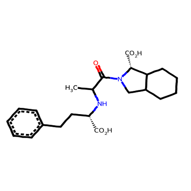 CC(N[C@@H](CCc1ccccc1)C(=O)O)C(=O)N1CC2CCCCC2[C@H]1C(=O)O